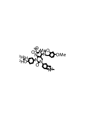 [2H]C([2H])([2H])Oc1ccc(N2C(=O)N(c3ccc4nn(C)cc4c3)Cc3c(N(C)Cc4ccc(OC)cc4OC)nc(S(C)(=O)=O)nc32)cc1